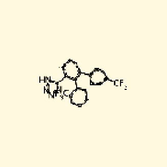 FC(F)(F)c1ccc(-c2cc[c]c(-c3nnn[nH]3)c2-c2ccccc2C(F)(F)F)cc1